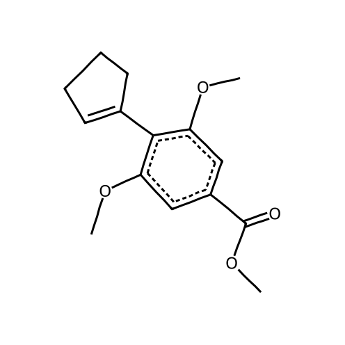 COC(=O)c1cc(OC)c(C2=CCCC2)c(OC)c1